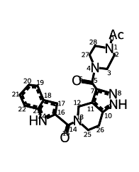 CC(=O)N1CCN(C(=O)c2n[nH]c3c2CN(C(=O)c2cc4ccccc4[nH]2)CC3)CC1